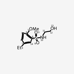 CCc1ccc(OC)c(S(=O)(=O)NCCO)c1